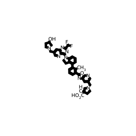 Cc1c(-c2nc3cc(CN4CCC(C)(C(=O)O)C4)cnc3o2)cccc1-c1cccc2c1CCN2c1nc(C(F)F)nc2cc(CN3CCC(O)C3)cnc12